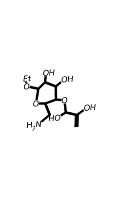 C=C(O)C(O)OC1C(CN)OC(OCC)C(O)C1O